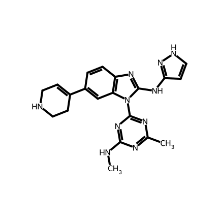 CNc1nc(C)nc(-n2c(Nc3cc[nH]n3)nc3ccc(C4=CCNCC4)cc32)n1